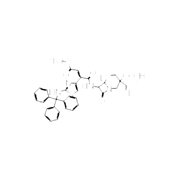 CC(C)(C)OC(=O)C=C(C(=O)NC1C(=O)N2CC(CCl)(C(=O)O)CS[C@H]12)c1csc(NC(c2ccccc2)(c2ccccc2)c2ccccc2)n1